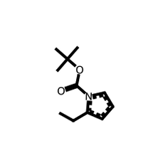 CCc1cccn1C(=O)OC(C)(C)C